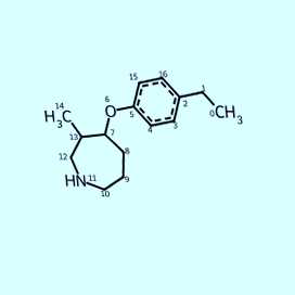 CCc1ccc(OC2CCCNCC2C)cc1